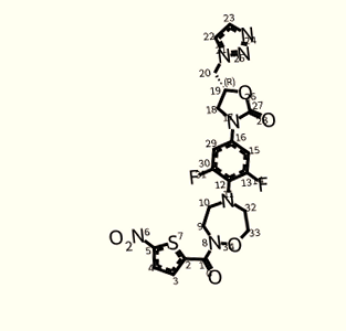 O=C(c1ccc([N+](=O)[O-])s1)N1CCN(c2c(F)cc(N3C[C@H](Cn4ccnn4)OC3=O)cc2F)CCO1